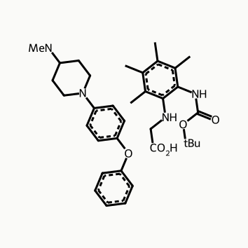 CNC1CCN(c2ccc(Oc3ccccc3)cc2)CC1.Cc1c(C)c(C)c(NC(=O)OC(C)(C)C)c(NCC(=O)O)c1C